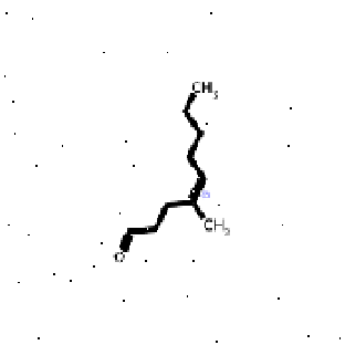 CCCC/C=C(/C)CCC=O